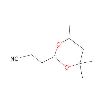 CC1CC(C)(C)OC(CCC#N)O1